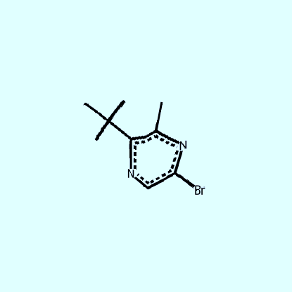 Cc1nc(Br)cnc1C(C)(C)C